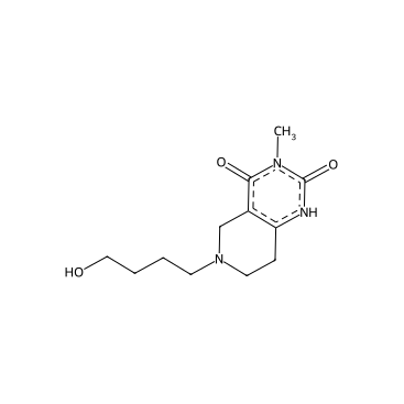 Cn1c(=O)[nH]c2c(c1=O)CN(CCCCO)CC2